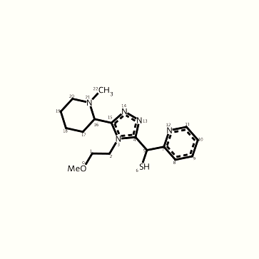 COCCn1c(C(S)c2ccccn2)nnc1C1CCCCN1C